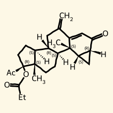 C=C1C[C@@H]2[C@H](CC[C@@]3(C)[C@H]2CC[C@]3(OC(=O)CC)C(C)=O)[C@]2(C)C1=CC(=O)[C@@H]1C[C@@H]12